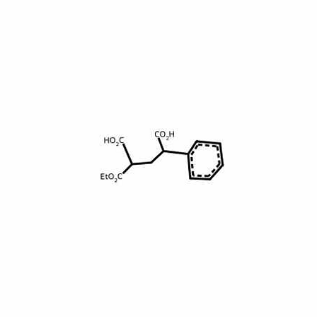 CCOC(=O)C(CC(C(=O)O)c1ccccc1)C(=O)O